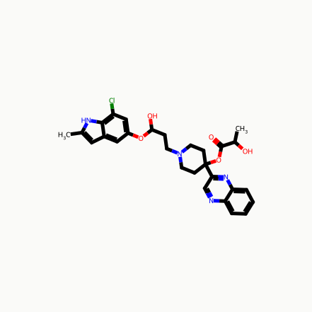 Cc1cc2cc(OC(O)CCN3CCC(OC(=O)C(C)O)(c4cnc5ccccc5n4)CC3)cc(Cl)c2[nH]1